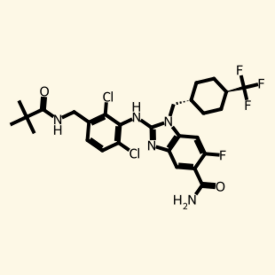 CC(C)(C)C(=O)NCc1ccc(Cl)c(Nc2nc3cc(C(N)=O)c(F)cc3n2C[C@H]2CC[C@H](C(F)(F)F)CC2)c1Cl